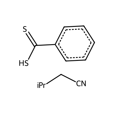 CC(C)CC#N.S=C(S)c1ccccc1